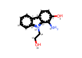 Nc1c(O)ccc2c3ccccc3n(CCO)c12